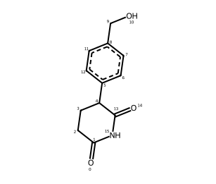 O=C1CCC(c2ccc(CO)cc2)C(=O)N1